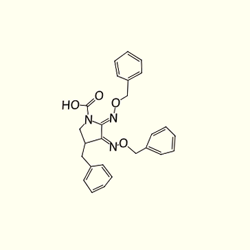 O=C(O)N1CC(Cc2ccccc2)C(=N/OCc2ccccc2)/C1=N/OCc1ccccc1